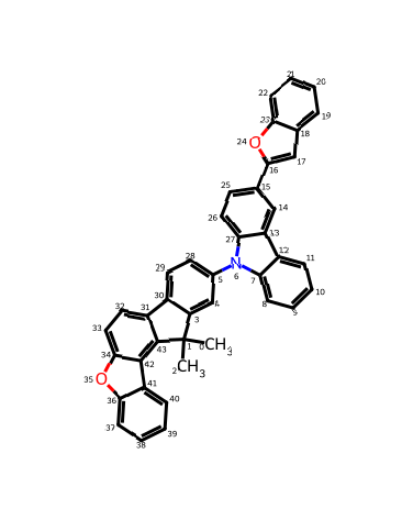 CC1(C)c2cc(-n3c4ccccc4c4cc(-c5cc6ccccc6o5)ccc43)ccc2-c2ccc3oc4ccccc4c3c21